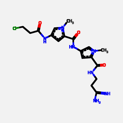 Cn1cc(NC(=O)c2cc(NC(=O)CCCl)cn2C)cc1C(=O)NCCC(=N)N